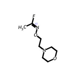 C/C(F)=N\OCCN1CCOCC1